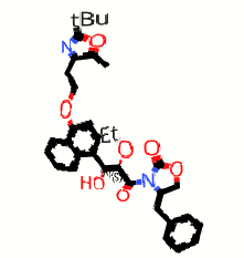 CCO[C@H](C(=O)N1C(=O)OCC1Cc1ccccc1)[C@H](O)c1ccc(OCCc2nc(C(C)(C)C)oc2C)c2ccccc12